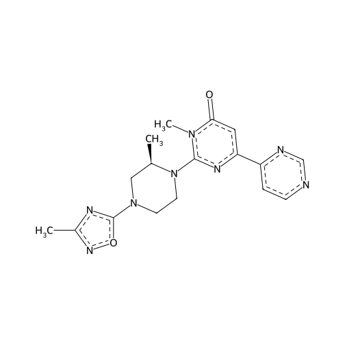 Cc1noc(N2CCN(c3nc(-c4ccncn4)cc(=O)n3C)[C@H](C)C2)n1